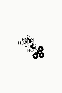 Nc1nc2c(ncn2[C@@H]2O[C@H](COC(c3ccccc3)(c3ccccc3)c3ccccc3)[C@@H](O)[C@H]2O)c(=O)[nH]1